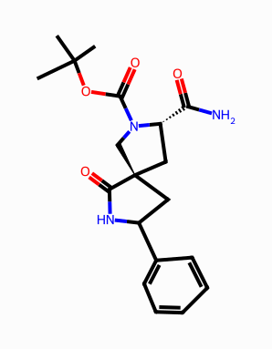 CC(C)(C)OC(=O)N1C[C@]2(CC(c3ccccc3)NC2=O)C[C@H]1C(N)=O